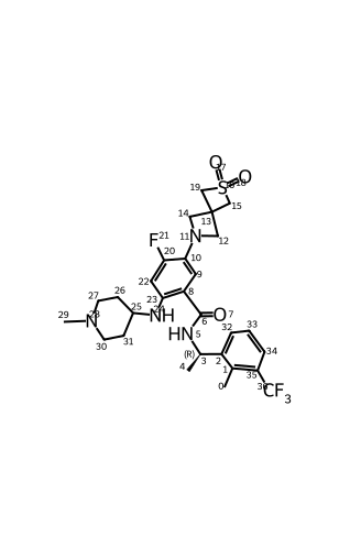 Cc1c([C@@H](C)NC(=O)c2cc(N3CC4(C3)CS(=O)(=O)C4)c(F)cc2NC2CCN(C)CC2)cccc1C(F)(F)F